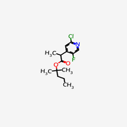 CCCC(C)(C)OC(=O)C(C)c1cc(Cl)ncc1F